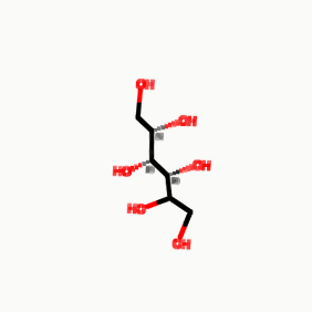 OCC(O)[C@@H](O)[C@H](O)[C@@H](O)CO